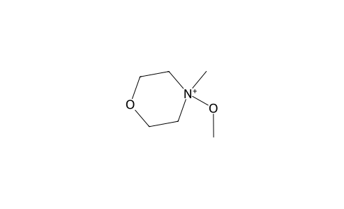 CO[N+]1(C)CCOCC1